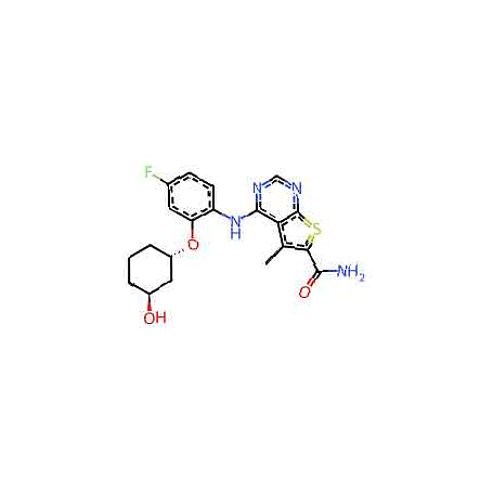 Cc1c(C(N)=O)sc2ncnc(Nc3ccc(F)cc3O[C@H]3CCC[C@H](O)C3)c12